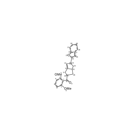 COc1cccc(OC)c1C(=O)N1CC2=CN(c3nc4ccccc4o3)CC2C1